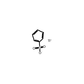 O=S(=O)([O-])c1ccccc1.[Tl+]